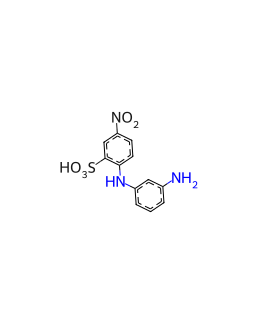 Nc1cccc(Nc2ccc([N+](=O)[O-])cc2S(=O)(=O)O)c1